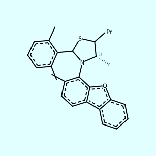 Cc1cccc(C)c1C1SC(C(C)C)[C@H](C)N1c1c(C)ccc2c1oc1ccccc12